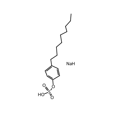 CCCCCCCCCc1ccc(OS(=O)(=O)O)cc1.[NaH]